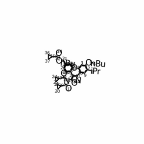 CCCCOc1cc(OCCCC)c(C(C)C)cc1-c1noc(N(C(=O)C2CC2)C(=O)C2CC2)c1-c1ccc(COC(=O)C2CC2)cc1